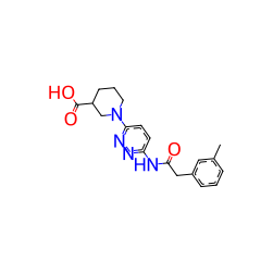 Cc1cccc(CC(=O)Nc2ccc(N3CCCC(C(=O)O)C3)nn2)c1